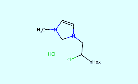 CCCCCCC(Cl)CN1C=CN(C)C1.Cl